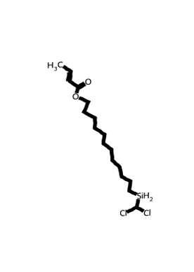 CC=CC(=O)OCCCCCCCCCCCC[SiH2]C(Cl)Cl